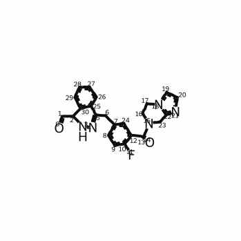 O=CC1NN=C(Cc2ccc(F)c(C(=O)N3CCn4ccnc4C3)c2)c2ccccc21